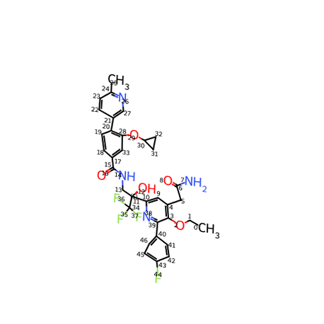 CCOc1c(CC(N)=O)cc([C@@](O)(CNC(=O)c2ccc(-c3ccc(C)nc3)c(OC3CC3)c2)C(F)(F)F)nc1-c1ccc(F)cc1